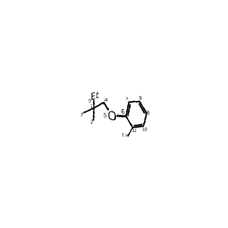 CCC(C)(C)COc1ccccc1C